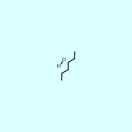 CCCCCC.CCCl